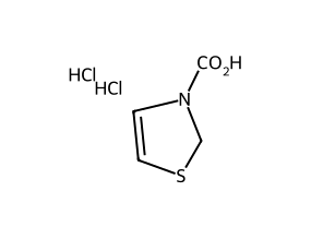 Cl.Cl.O=C(O)N1C=CSC1